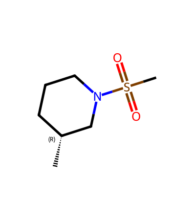 C[C@@H]1CCCN(S(C)(=O)=O)C1